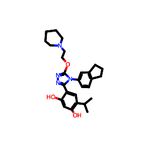 CC(C)c1cc(-c2nnc(OCCN3CCCCC3)n2-c2ccc3c(c2)CCC3)c(O)cc1O